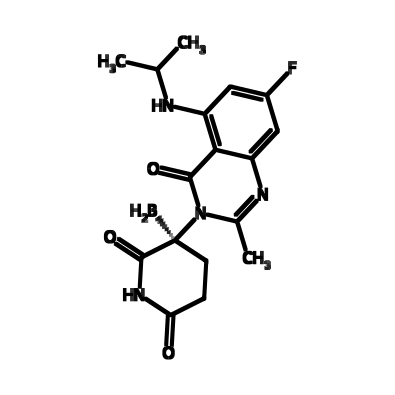 B[C@]1(n2c(C)nc3cc(F)cc(NC(C)C)c3c2=O)CCC(=O)NC1=O